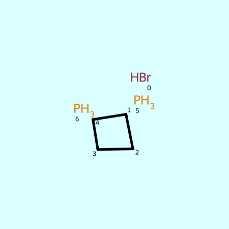 Br.C1CCC1.P.P